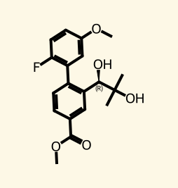 COC(=O)c1ccc(-c2cc(OC)ccc2F)c([C@@H](O)C(C)(C)O)c1